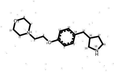 c1cc(OCCN2CCOCC2)ccc1CC1CCNC1